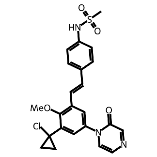 COc1c(C=Cc2ccc(NS(C)(=O)=O)cc2)cc(-n2ccncc2=O)cc1C1(Cl)CC1